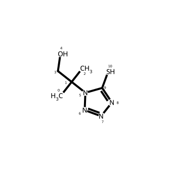 CC(C)(CO)n1nnnc1S